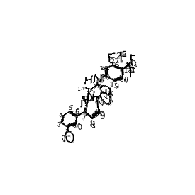 COc1cccc(-c2ccc(=O)n(C(C)C(=O)Nc3ccc(C(F)(F)F)c(F)c3)n2)c1